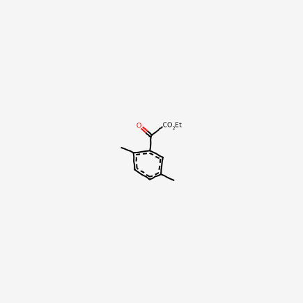 CCOC(=O)C(=O)c1cc(C)ccc1C